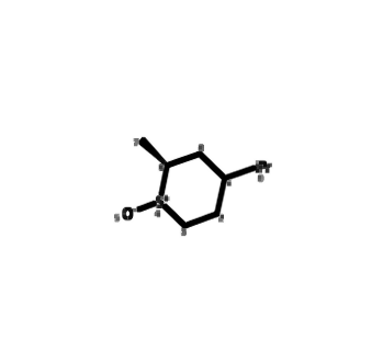 CC(C)C1CC[S+]([O-])[C@@H](C)C1